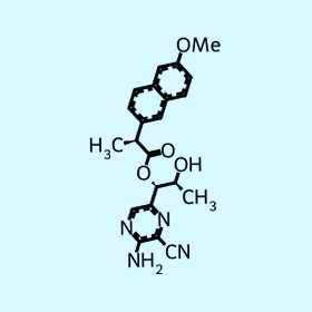 COc1ccc2cc([C@H](C)C(=O)O[C@@H](c3cnc(N)c(C#N)n3)[C@H](C)O)ccc2c1